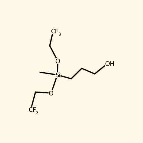 C[Si](CCCO)(OCC(F)(F)F)OCC(F)(F)F